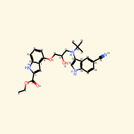 CCOC(=O)c1cc2c(OCC(O)CN(c3c[nH]c4ccc(C#N)cc34)C(C)(C)C)cccc2[nH]1